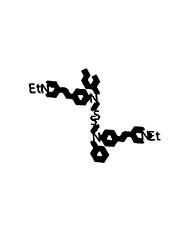 C=C/C=C\C(=C/C)CN(CCSSCCN(Cc1ccccc1)c1ccc(/C=C/C2=CCN(CC)C=C2)cc1)c1ccc(/C=C/c2cc[n+](CC)cc2)cc1